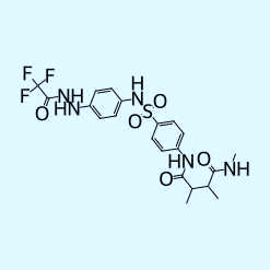 CNC(=O)C(C)C(C)C(=O)Nc1ccc(S(=O)(=O)Nc2ccc(NNC(=O)C(F)(F)F)cc2)cc1